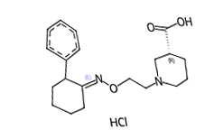 Cl.O=C(O)[C@@H]1CCCN(CCO/N=C2\CCCCC2c2ccccc2)C1